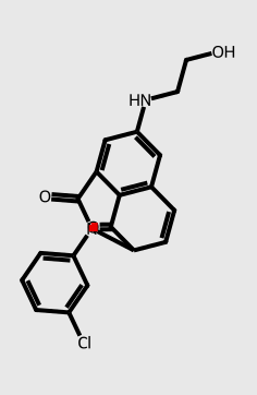 O=C1c2c3cc(NCCO)cc2C(=O)N(c2cccc(Cl)c2)C1C=C3